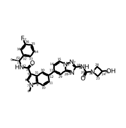 C[C@H](NC(=O)c1cn(C)c2ccc(-c3ccn4nc(NC(=O)N5CC(O)C5)nc4c3)cc12)c1cccc(F)c1